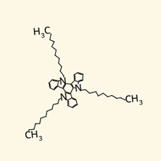 CCCCCCCCCCCCn1c2ccccc2c2c1c1c3ccccc3n(CCCCCCCCCCCC)c1c1c3ccccc3n(CCCCCCCCCCCC)c21